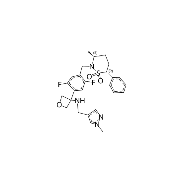 C[C@H]1CC[C@H](c2ccccc2)S(=O)(=O)N1Cc1cc(F)c(C2(NCc3cnn(C)c3)COC2)cc1F